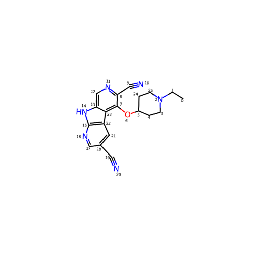 CCN1CCC(Oc2c(C#N)ncc3[nH]c4ncc(C#N)cc4c23)CC1